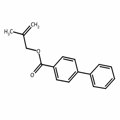 C=C(C)COC(=O)c1ccc(-c2ccccc2)cc1